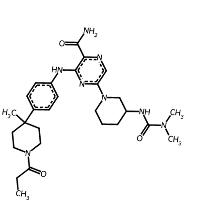 CCC(=O)N1CCC(C)(c2ccc(Nc3nc(N4CCCC(NC(=O)N(C)C)C4)cnc3C(N)=O)cc2)CC1